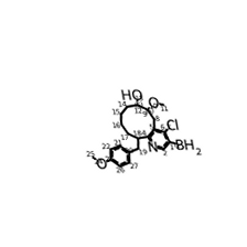 Bc1cnc2c(c1Cl)C[C@H](OC)[C@@H](O)CCCCC2Cc1ccc(OC)cc1